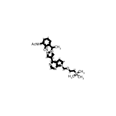 CC(=O)Nc1cccc(C(C)n2cc(-c3ncnc4c3ccn4COCC[Si](C)(C)C)cn2)c1C#N